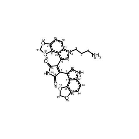 NCCCn1cc(C2=C(c3c[nH]c4ccc5c(c34)OCO5)C(=O)NC2=O)c2c3c(ccc21)OCO3